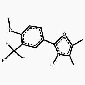 COc1ccc(-c2oc(C)c(C)[n+]2[O-])cc1C(F)(F)F